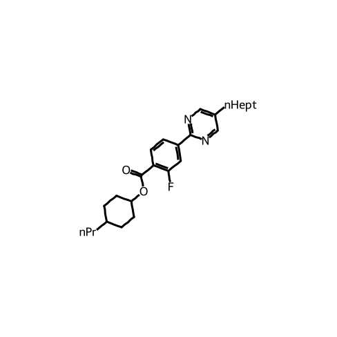 CCCCCCCc1cnc(-c2ccc(C(=O)OC3CCC(CCC)CC3)c(F)c2)nc1